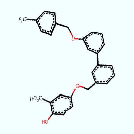 O=C(O)c1cc(OCc2cccc(-c3cccc(OCc4ccc(C(F)(F)F)cc4)c3)c2)ccc1O